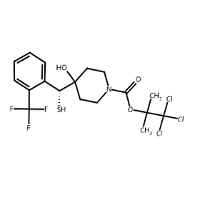 CC(C)(OC(=O)N1CCC(O)([C@H](S)c2ccccc2C(F)(F)F)CC1)C(Cl)(Cl)Cl